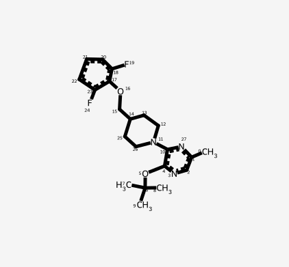 Cc1cnc(OC(C)(C)C)c(N2CCC(COc3c(F)cccc3F)CC2)n1